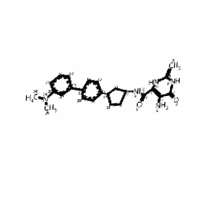 C=C1NC(=O)C(N)=C(C(=O)N[C@H]2CC[C@@H](c3ccc(-c4cccc(N(C)C)c4)cc3)C2)N1